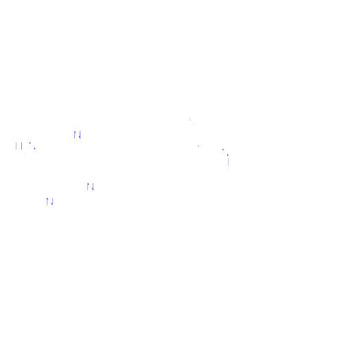 NC1=NC=C(c2cccc(C(=O)NCc3ccccc3)c2)N2CCN=C12